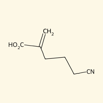 C=C(CCCC#N)C(=O)O